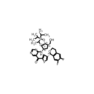 CC(C)[Si](O[C@H]1C[C@H](Nc2ncncc2C(=O)c2cc([C@@H]3OCCc4cc(F)c(F)cc43)cs2)C[C@@H]1CO)(C(C)C)C(C)C